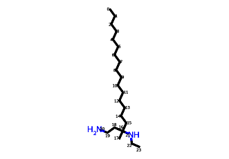 CCCCCCCCCCCCCCCCC(C)(CCN)NCC